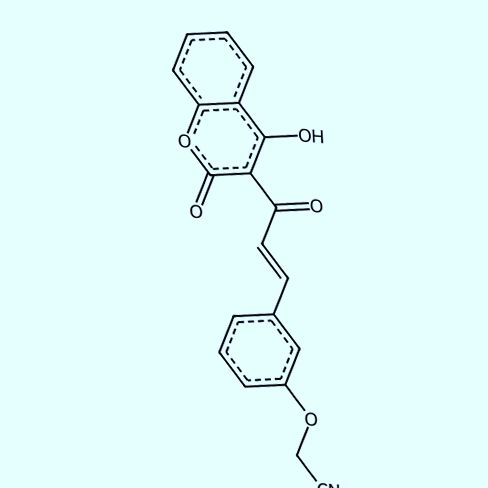 N#CCOc1cccc(C=CC(=O)c2c(O)c3ccccc3oc2=O)c1